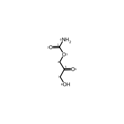 NC(=O)OCC(=O)CO